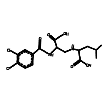 CC(C)CC(NCC(NC(=O)c1ccc(Cl)c(Cl)c1)C(=O)O)C(=O)O